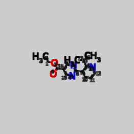 CCOC(=O)c1cnc(-c2cccnc2C(C)C)nc1